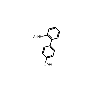 COc1ccc(-c2ccc[c]c2NC(C)=O)cc1